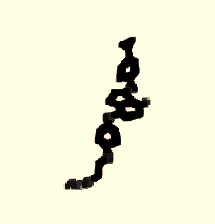 CC(=O)OCCOc1ccc(Oc2ccc(F)c3c2CCC3Oc2ccc(C3CC3)cc2)cc1